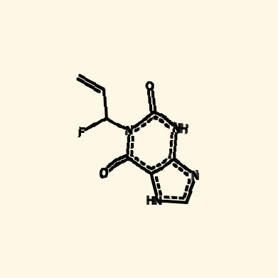 C=CC(F)n1c(=O)[nH]c2nc[nH]c2c1=O